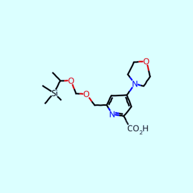 CC(OCOCc1cc(N2CCOCC2)cc(C(=O)O)n1)[Si](C)(C)C